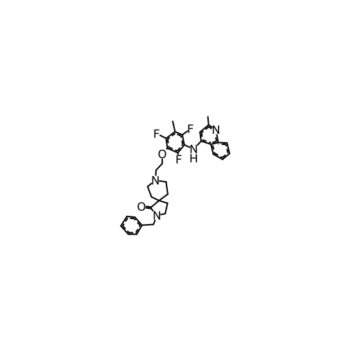 Cc1cc(Nc2c(F)c(C)c(F)c(OCCN3CCC4(CC3)CCN(Cc3ccccc3)C4=O)c2F)c2ccccc2n1